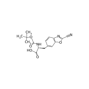 CC(C)(C)OC(=O)N[C@@H](Cc1ccc2nc(C#N)oc2c1)C(=O)O